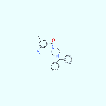 Cc1cc(C(=O)N2CCN(C(c3ccccc3)c3ccccc3)CC2)cc(N(C)C)c1